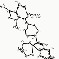 C[C@@H]1C[C@@H](O)C2=C1C(N1CCN(C(=O)C3(c4ccc(Cl)cc4)CCNCC3)CC1)N(C)C=N2